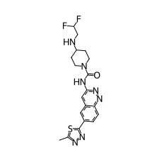 Cc1nnc(-c2ccc3nnc(NC(=O)N4CCC(NCC(F)F)CC4)cc3c2)s1